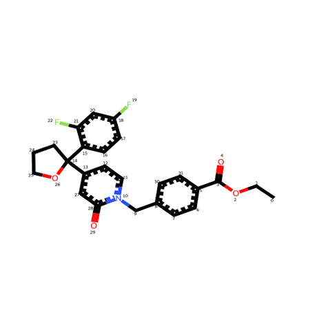 CCOC(=O)c1ccc(Cn2ccc(C3(c4ccc(F)cc4F)CCCO3)cc2=O)cc1